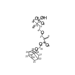 C=C(COCCC(F)(F)S(=O)(=O)O)C(=O)OCOC12CC3CC(CC(C3)C1)C2